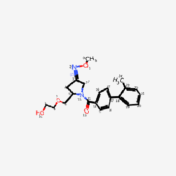 CO/N=C1/CC(COCCO)N(C(=O)c2ccc(-c3ccccc3C)cc2)C1